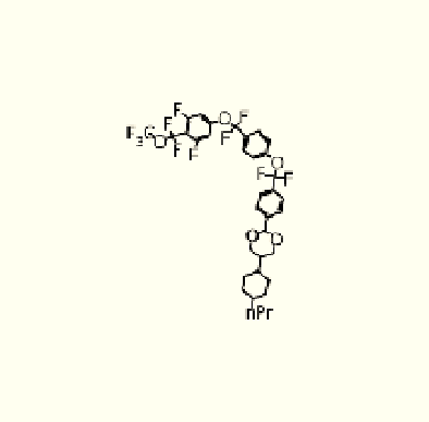 CCCC1CCC(C2COC(c3ccc(C(F)(F)Oc4ccc(C(F)(F)Oc5cc(F)c(C(F)(F)OC(F)(F)F)c(F)c5)cc4)cc3)OC2)CC1